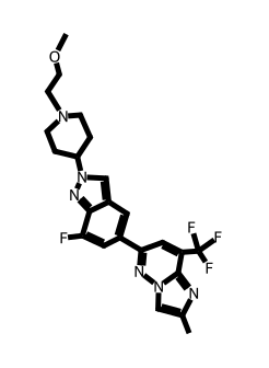 COCCN1CCC(n2cc3cc(-c4cc(C(F)(F)F)c5nc(C)cn5n4)cc(F)c3n2)CC1